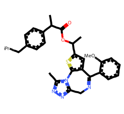 COc1ccccc1C1=NCc2nnc(C)n2-c2sc(C(C)OC(=O)C(C)c3ccc(CC(C)C)cc3)cc21